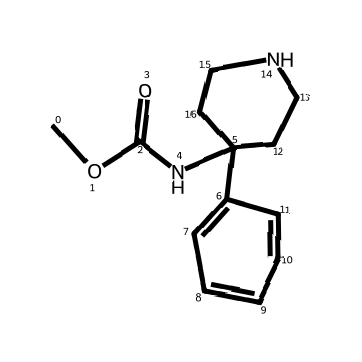 COC(=O)NC1(c2ccccc2)CCNCC1